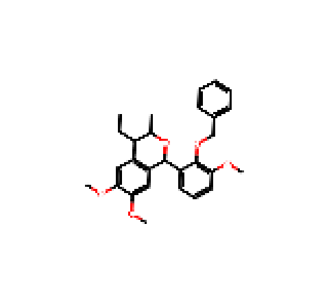 CCC1c2cc(OC)c(OC)cc2C(c2cccc(OC)c2OCc2ccccc2)OC1C